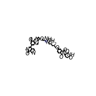 COc1cc(-c2cn(C)c(=O)c3cnccc23)cc(OC)c1CN1CC(OC/C(N)=C/N(N)CCCCCOc2ccc3c(c2)C(=O)N(C2CCC(=O)NC2=O)C3=O)C1